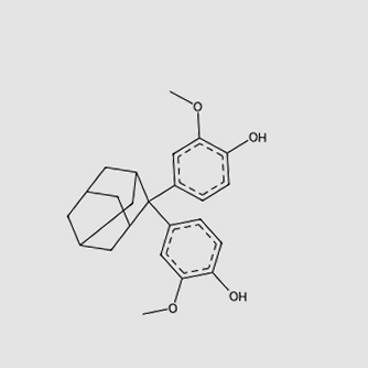 COc1cc(C2(c3ccc(O)c(OC)c3)C3CC4CC(C3)CC2C4)ccc1O